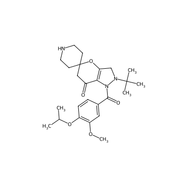 COc1cc(C(=O)N2C3=C(CN2C(C)(C)C)OC2(CCNCC2)CC3=O)ccc1OC(C)C